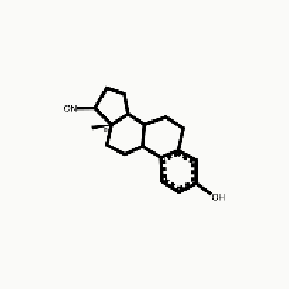 C[C@]12CCC3c4ccc(O)cc4CCC3C1CCC2N=O